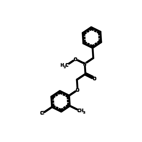 CON(Cc1ccccc1)C(=O)COc1ccc(Cl)cc1C